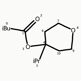 CCC(C)C(=O)OC1(C(C)C)CCOCC1